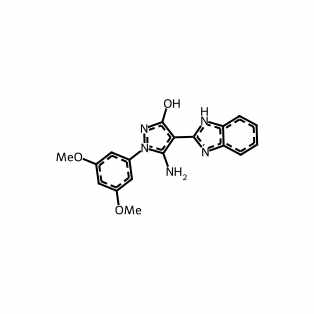 COc1cc(OC)cc(-n2nc(O)c(-c3nc4ccccc4[nH]3)c2N)c1